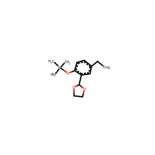 CC(C)(C)[Si](C)(C)Oc1ccc(CC=O)cc1C1OCCO1